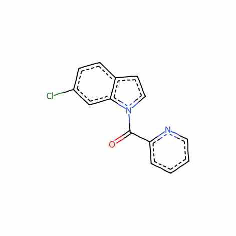 O=C(c1ccccn1)n1ccc2ccc(Cl)cc21